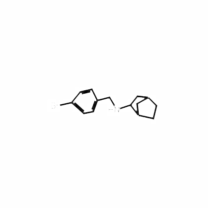 Brc1ccc(CNC2CC3CCC2C3)cc1